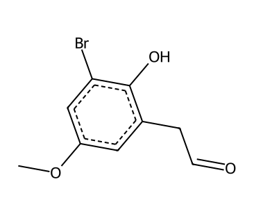 COc1cc(Br)c(O)c(CC=O)c1